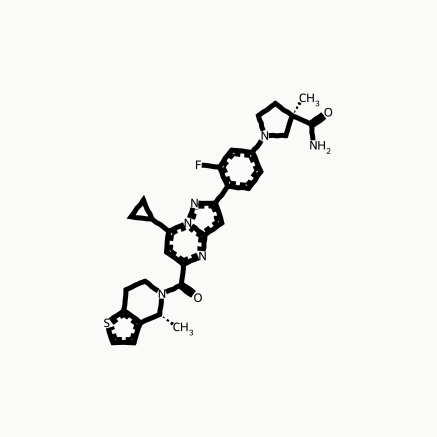 C[C@@H]1c2ccsc2CCN1C(=O)c1cc(C2CC2)n2nc(-c3ccc(N4CC[C@@](C)(C(N)=O)C4)cc3F)cc2n1